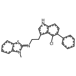 Cn1/c(=N/CCc2c[nH]c3ccc(-c4ccccc4)c(Cl)c23)sc2ccccc21